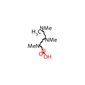 CNC(C)=CCCC(=CC=CC(=CCOC(=O)CO)NC)NC